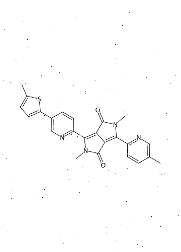 Cc1ccc(C2=C3C(=O)N(C)C(c4ccc(-c5ccc(C)s5)cn4)=C3C(=O)N2C)nc1